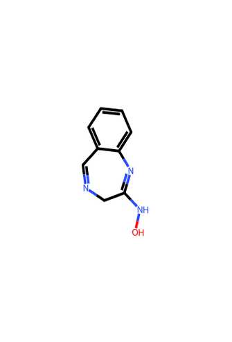 ONC1=Nc2ccccc2C=NC1